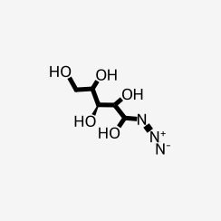 [N-]=[N+]=NC(O)C(O)[C@@H](O)C(O)CO